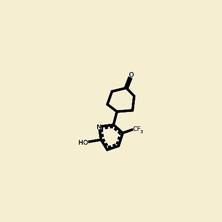 O=C1CCC(c2nc(O)ccc2C(F)(F)F)CC1